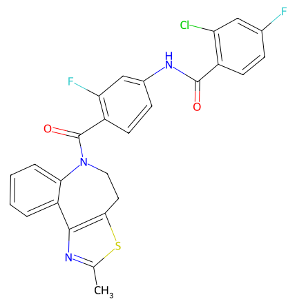 Cc1nc2c(s1)CCN(C(=O)c1ccc(NC(=O)c3ccc(F)cc3Cl)cc1F)c1ccccc1-2